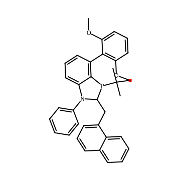 COc1cccc(OC)c1-c1cccc2c1P(C(C)(C)C)C(Cc1cccc3ccccc13)N2c1ccccc1